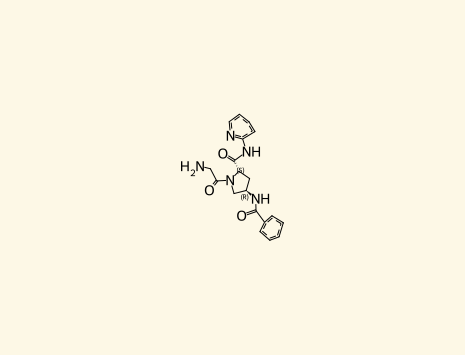 NCC(=O)N1C[C@H](NC(=O)c2ccccc2)C[C@H]1C(=O)Nc1ccccn1